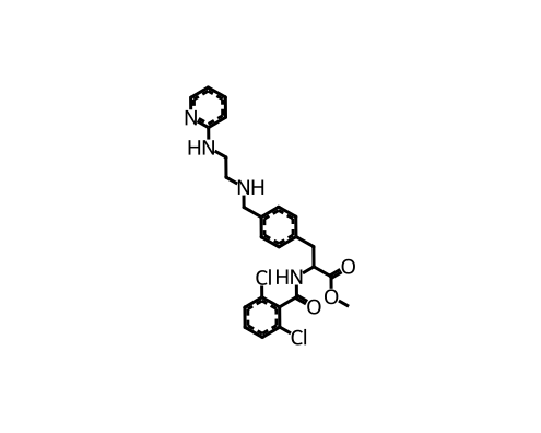 COC(=O)C(Cc1ccc(CNCCNc2ccccn2)cc1)NC(=O)c1c(Cl)cccc1Cl